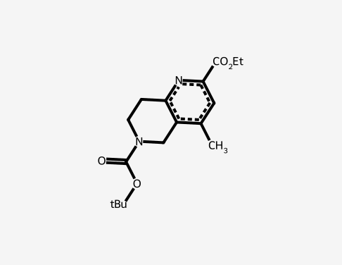 CCOC(=O)c1cc(C)c2c(n1)CCN(C(=O)OC(C)(C)C)C2